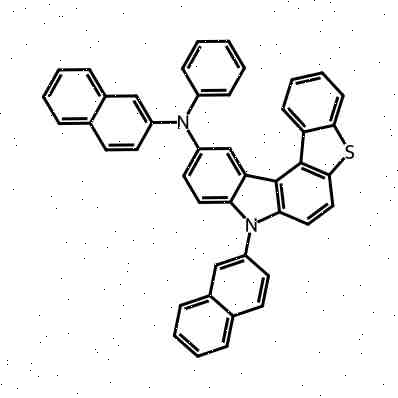 c1ccc(N(c2ccc3ccccc3c2)c2ccc3c(c2)c2c4c(ccc2n3-c2ccc3ccccc3c2)sc2ccccc24)cc1